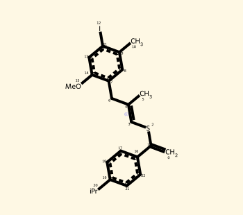 C=C(S/C=C(\C)Cc1cc(C)c(I)cc1OC)c1ccc(C(C)C)cc1